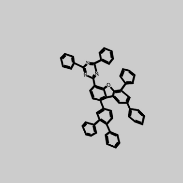 c1ccc(-c2cc(-c3ccccc3)c3oc4c(-c5nc(-c6ccccc6)nc(-c6ccccc6)n5)ccc(-c5ccc(-c6ccccc6)c(-c6ccccc6)c5)c4c3c2)cc1